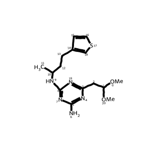 COC(Cc1nc(N)nc(NC(C)CCc2ccsc2)n1)OC